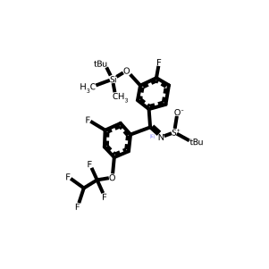 CC(C)(C)[S+]([O-])/N=C(/c1cc(F)cc(OC(F)(F)C(F)F)c1)c1ccc(F)c(O[Si](C)(C)C(C)(C)C)c1